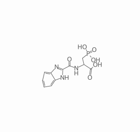 O=C(NC(CP(=O)(O)O)C(=O)O)c1nc2ccccc2[nH]1